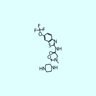 CN(CC(=O)Nc1nc2ccc(OC(F)(F)F)cc2s1)C(=O)[C@H]1CNCCN1